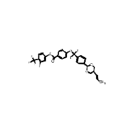 C/C=C/C1COC(c2ccc(C(F)(F)Oc3ccc(C(=O)Oc4ccc(C(F)(F)F)c(F)c4)cc3)cc2)OC1